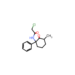 CC1CCCC(NC(=O)CCl)(c2ccccc2)C1=O